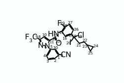 N#Cc1cccc(-n2nc(C(F)(F)F)cc2C(=O)Nc2cc(C(Cl)(I)CCC3CC3)ccc2F)c1